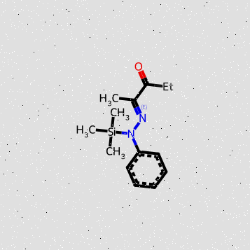 CCC(=O)/C(C)=N/N(c1ccccc1)[Si](C)(C)C